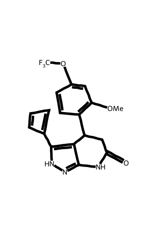 COc1cc(OC(F)(F)F)ccc1C1CC(=O)Nc2n[nH]c(C3=CC=C3)c21